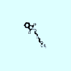 COCCOCCON1C(=O)c2ccccc2C1=O